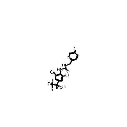 CC(O)(c1cc(Cl)c(NC(=O)NCc2ccc(F)cn2)c(Cl)c1)C(F)(F)F